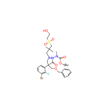 CN(NC(=O)C(CCCC(C)(C)CS(=O)(=O)CCO)(COCc1ccccc1)c1cccc(Br)c1F)C(=O)OC(C)(C)C